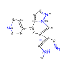 CN/C=C(\C=N)c1cc(C2=CCNCC2)c2ccnn2c1